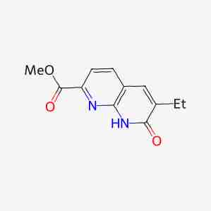 CCc1cc2ccc(C(=O)OC)nc2[nH]c1=O